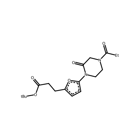 CCC(=O)N1CCN(c2ccc(CCC(=O)OC(C)(C)C)o2)C(=O)C1